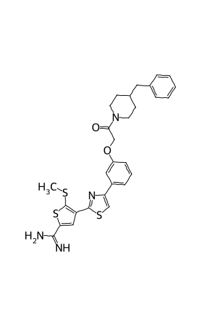 CSc1sc(C(=N)N)cc1-c1nc(-c2cccc(OCC(=O)N3CCC(Cc4ccccc4)CC3)c2)cs1